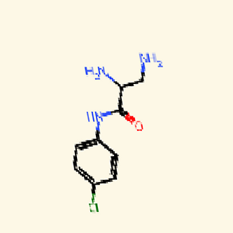 NCC(N)C(=O)Nc1ccc(Cl)cc1